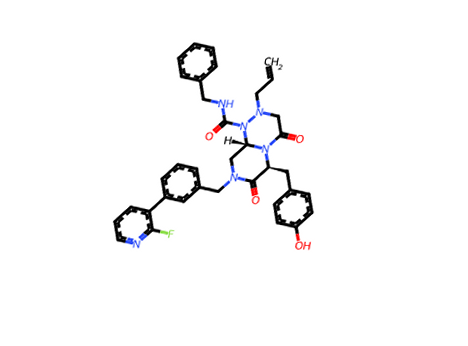 C=CCN1CC(=O)N2[C@@H](Cc3ccc(O)cc3)C(=O)N(Cc3cccc(-c4cccnc4F)c3)C[C@@H]2N1C(=O)NCc1ccccc1